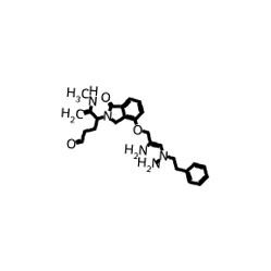 C=C(NC)C(CCC=O)N1Cc2c(OC/C(N)=C/N(N)CCc3ccccc3)cccc2C1=O